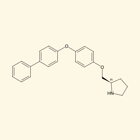 c1ccc(-c2ccc(Oc3ccc(OC[C@H]4CCCN4)cc3)cc2)cc1